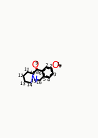 COc1ccc2c(c1)C(=O)C1CCCCN1C2